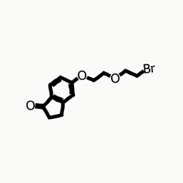 O=C1CCc2cc(OCCOCCBr)ccc21